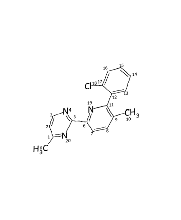 Cc1ccnc(-c2ccc(C)c(-c3ccccc3Cl)n2)n1